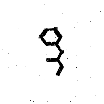 C=CC(=O)Oc1cncnc1